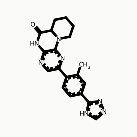 Cc1cc(-c2nnc[nH]2)ccc1-c1cnc2c(n1)N1CCCCC1C(=O)N2